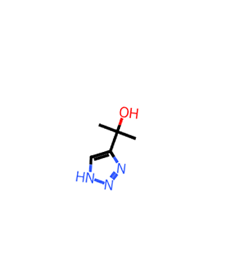 CC(C)(O)c1c[nH]nn1